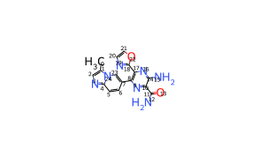 Cc1cnc2ccc(-c3nc(C(N)=O)c(N)nc3-c3ncco3)cn12